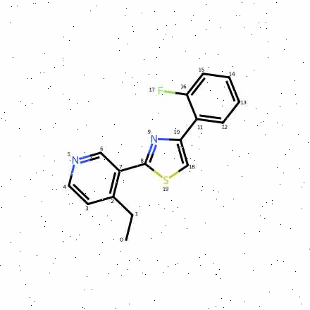 CCc1ccncc1-c1nc(-c2ccccc2F)cs1